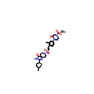 Cc1cc(N2CCN(C(=O)OC(C)(C)C)CC2=O)ccc1/C=C/S(=O)(=O)N1CCC2(CC1)N=C(C1CCC(C)CC1)NC2=O